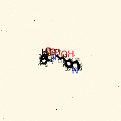 CC1(C)C2CCC13CN(C(=O)CC(O)c1ccc4ncccc4c1)S(=O)(=O)[C@@H]3C2